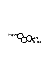 CCCCCCCC1CCC2C(CCC3CC(C#N)(CCCCC)CCC32)C1